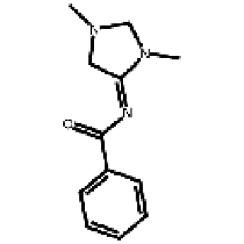 CN1CC(=NC(=O)c2ccccc2)N(C)C1